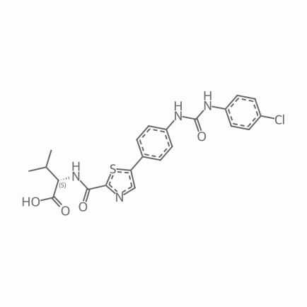 CC(C)[C@H](NC(=O)c1ncc(-c2ccc(NC(=O)Nc3ccc(Cl)cc3)cc2)s1)C(=O)O